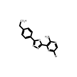 Nc1ncc(Br)nc1-c1nnc(-c2ccc(CC(=O)O)cc2)o1